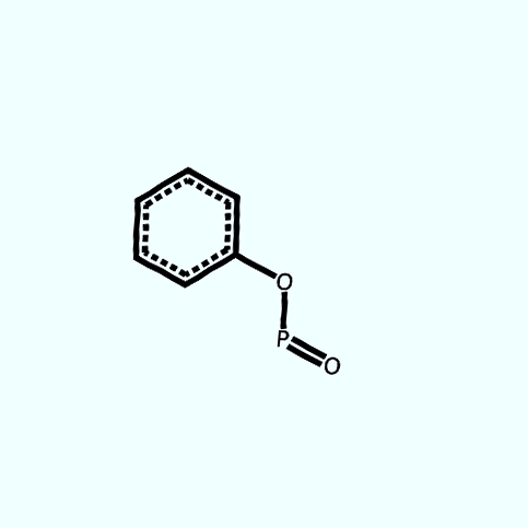 O=POc1ccccc1